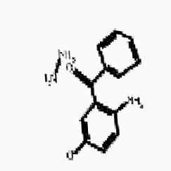 NN.Nc1ccc(Cl)cc1C(=O)c1ccccc1